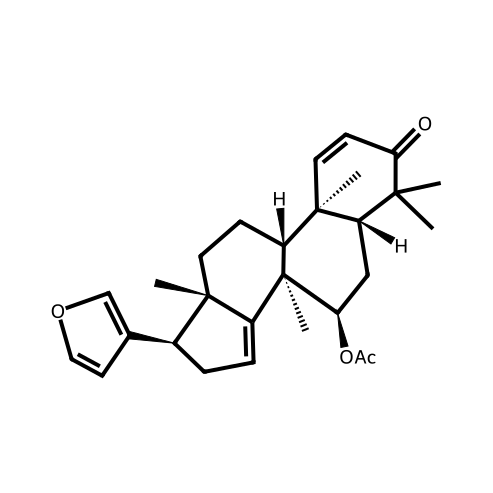 CC(=O)O[C@@H]1C[C@H]2C(C)(C)C(=O)C=C[C@]2(C)[C@H]2CC[C@]3(C)C(=CC[C@H]3c3ccoc3)[C@@]21C